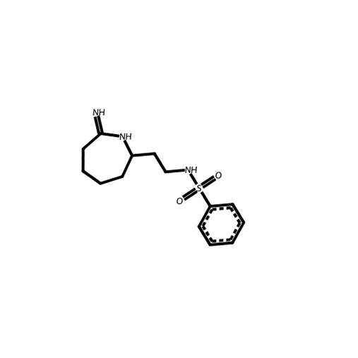 N=C1CCCCC(CCNS(=O)(=O)c2ccccc2)N1